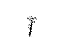 CCCCCCCC(=O)CC(O)CCNC(=O)OC(C)(C)C